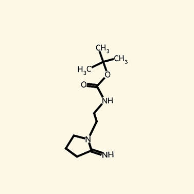 CC(C)(C)OC(=O)NCCN1CCCC1=N